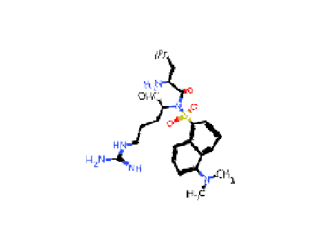 CC(C)C[C@H](N)C(=O)N([C@H](C=O)CCCNC(=N)N)S(=O)(=O)c1cccc2c(N(C)C)cccc12